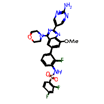 COc1cc(-c2cccc(NS(=O)(=O)c3ccc(F)cc3F)c2F)cc2c(N3CCOCC3)nc(-c3cnc(N)nc3)nc12